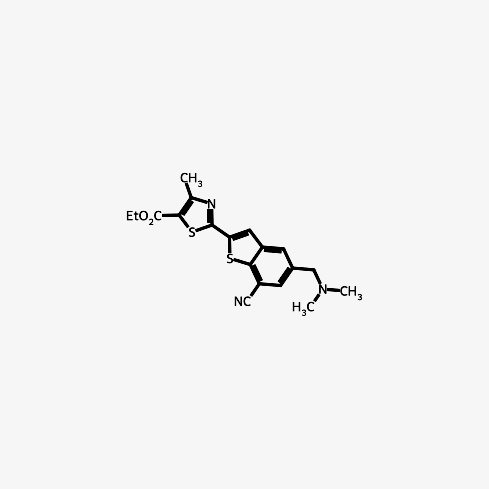 CCOC(=O)c1sc(-c2cc3cc(CN(C)C)cc(C#N)c3s2)nc1C